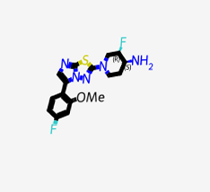 COc1cc(F)ccc1-c1cnc2sc(N3CC[C@H](N)[C@H](F)C3)nn12